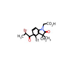 CCc1c(C(=O)C(C)Br)ccc2c1C(C)(C)C(=O)N2CC(=O)O